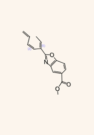 C=C/C=C\C(=C/C)c1nc2cc(C(=O)OC)ccc2o1